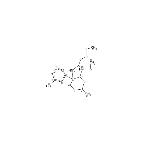 CCCCCNC1(c2cccc(O)c2)CCC(C)CC1NCC